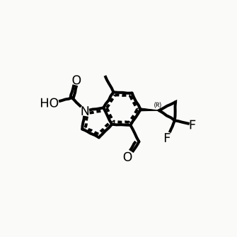 Cc1cc([C@H]2CC2(F)F)c(C=O)c2ccn(C(=O)O)c12